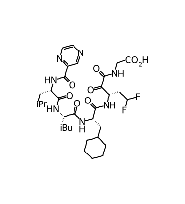 CC[C@@H](C)[C@H](NC(=O)[C@H](CC(C)C)NC(=O)c1cnccn1)C(=O)N[C@@H](CC1CCCCC1)C(=O)N[C@@H](CC(F)F)C(=O)C(=O)NCC(=O)O